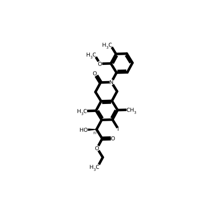 CCOC(=O)[C@@H](O)c1c(C)c2c(c(C)c1I)CN(c1cccc(C)c1OC)C(=O)C2